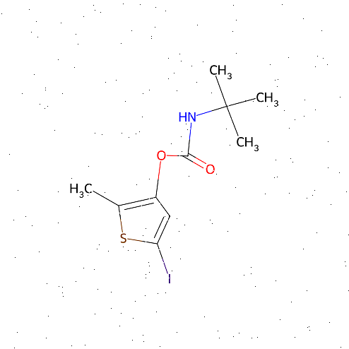 Cc1sc(I)cc1OC(=O)NC(C)(C)C